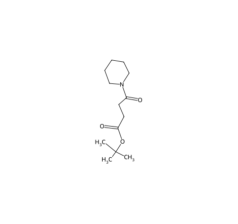 CC(C)(C)OC(=O)CCC(=O)N1CCCCC1